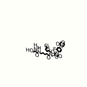 N[C@@H](CO)C(=O)NCCCCC(=O)N(C[C@H]1CN(c2ccc(N3CCOCC3=O)cc2F)C(=O)O1)C(=O)c1ccc(Cl)s1